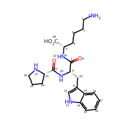 NCCCC[C@H](NC(=O)[C@H](Cc1c[nH]c2ccccc12)NC(=O)[C@@H]1CCCN1)C(=O)O